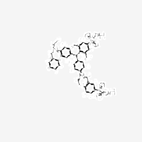 CCN(Cc1ccccc1)c1ccc(C(c2ccc(N(CC)Cc3cccc(S(=O)(=O)O)c3)cc2)c2c(C)cc(S(=O)(=O)O)cc2C)cc1